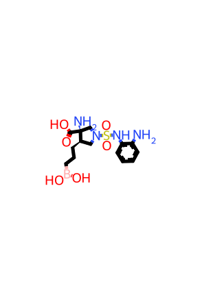 Nc1ccccc1NS(=O)(=O)N1C[C@@H](CCCB(O)O)[C@@](N)(C(=O)O)C1